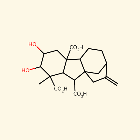 C=C1CC23CC1CCC2C1(C(=O)O)CC(O)C(O)C(C)(C(=O)O)C1C3C(=O)O